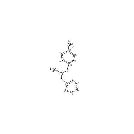 CN(Cc1ccncc1)Cc1ccc(N)cc1